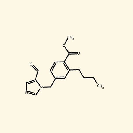 CCCCc1cc(Cn2cncc2C=O)ccc1C(=O)OC